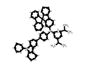 CC(C)c1cc(C(C)C)cc(N(c2ccc(-c3ccc4c(c3)c3ccccc3n4-c3ccccc3)cc2)c2ccc3c(c2)C2(c4ccccc4-c4ccccc42)c2ccccc2-3)c1